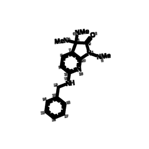 CNN1C(=O)C(NC)(NC)c2ccc(NCc3ccccc3)nc21